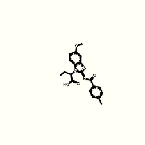 CCC(C(=O)O)n1/c(=N/C(=O)c2ccc(C)cc2)sc2cc(OC)ccc21